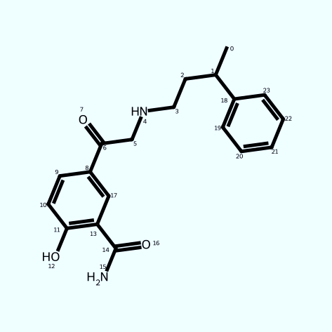 CC(CCNCC(=O)c1ccc(O)c(C(N)=O)c1)c1ccccc1